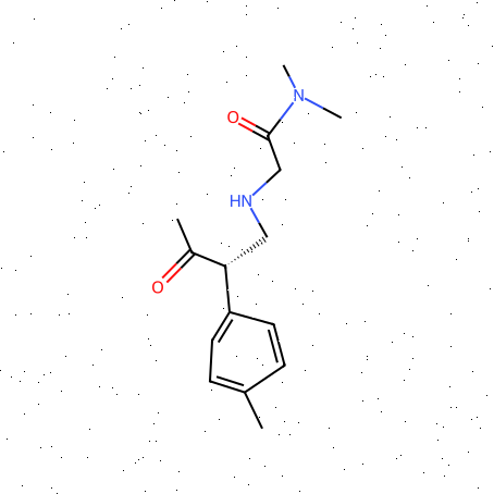 CC(=O)[C@H](CNCC(=O)N(C)C)c1ccc(C)cc1